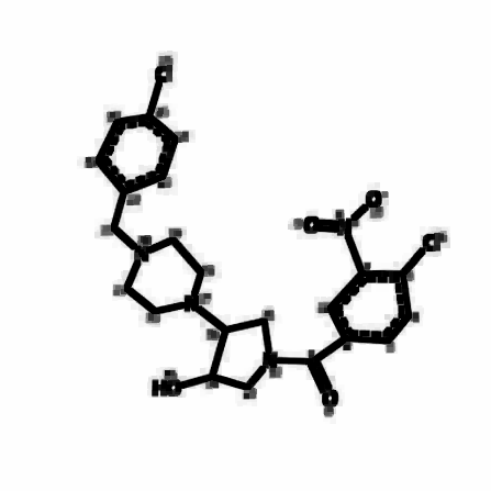 O=C(c1ccc(Cl)c([N+](=O)[O-])c1)N1CC(O)C(N2CCN(Cc3ccc(Cl)cc3)CC2)C1